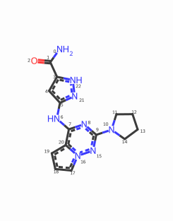 NC(=O)c1cc(Nc2nc(N3CCCC3)nn3cccc23)n[nH]1